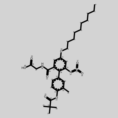 CCCCCCCCCCOc1cc(N=S(=O)=O)c(-c2ccc(OC(=O)C(C)(C)C)c(C)c2)c(C(=O)NCC(=O)O)c1